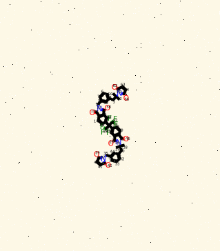 CC(C)(Cc1cccc(CN2C(=O)c3ccc(C(c4ccc5c(c4)C(=O)N(C(C)(C)Cc4cccc(CN6C(=O)C=CC6=O)c4)C5=O)(C(F)(F)F)C(F)(F)F)cc3C2=O)c1)N1C(=O)C=CC1=O